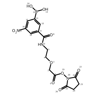 O=C(COCCNC(=O)c1cc(B(O)O)cc([N+](=O)[O-])c1)ON1C(=O)CCC1=O